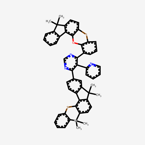 CC1(C)c2ccccc2-c2c1ccc1c2Oc2c(cccc2-c2ncnc(-c3ccc4c(c3)C(C)(C)c3ccc5c(c3-4)Sc3ccccc3[Si]5(C)C)c2-c2ccccn2)S1